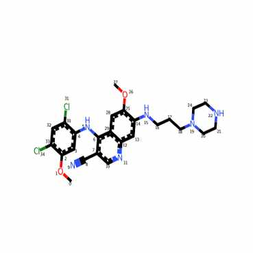 COc1cc(Nc2c(C#N)cnc3cc(NCCCN4CCNCC4)c(OC)cc23)c(Cl)cc1Cl